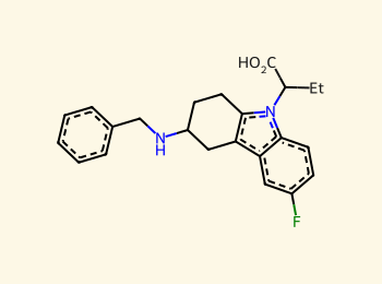 CCC(C(=O)O)n1c2c(c3cc(F)ccc31)CC(NCc1ccccc1)CC2